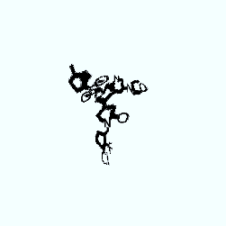 Cc1ccc(S(=O)(=O)n2cc(-c3ccn(Cc4cccc(Cl)c4F)c(=O)c3)c3cc(N4CC5CC4CO5)cnc32)cc1